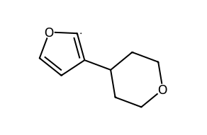 [c]1occc1C1CCOCC1